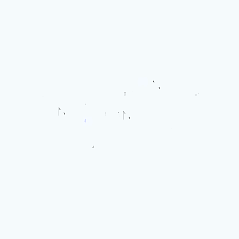 C=N/C=C(\CC)N(C)/C(C)=N\C(C)C